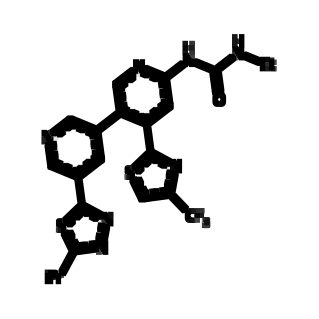 CCNC(=O)Nc1cc(-c2nc(C(F)(F)F)cs2)c(-c2cncc(-c3nnc(C(C)C)s3)c2)cn1